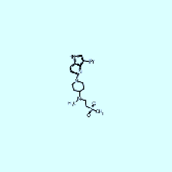 CC(C)c1c[nH]c2ccc(N3CCC(N(C)CCS(C)(=O)=O)CC3)nc12